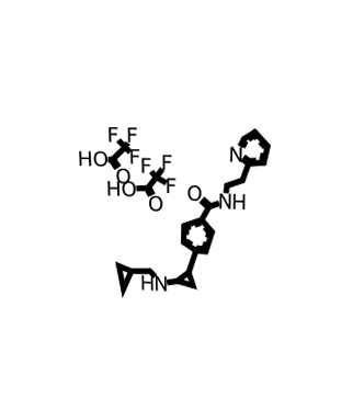 O=C(NCCc1ccccn1)c1ccc(C2CC2NCC2CC2)cc1.O=C(O)C(F)(F)F.O=C(O)C(F)(F)F